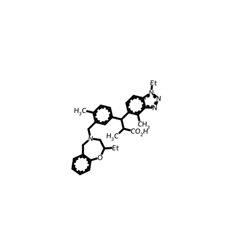 CCC1CN(Cc2cc(C(c3ccc4c(nnn4CC)c3C)C(C)C(=O)O)ccc2C)Cc2ccccc2O1